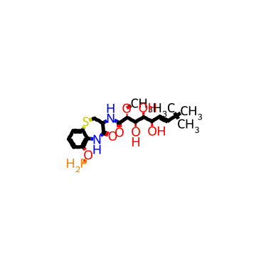 CO[C@@H](C(=O)NC1CSc2cccc(OP)c2NC1=O)[C@H](O)[C@@H](O)[C@H](O)/C=C/C(C)(C)C